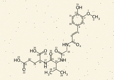 COc1cc(/C=C/C(=O)NCC(=O)NC(C(=O)NC(CCC(=O)O)C(=O)O)C(C)C)ccc1O